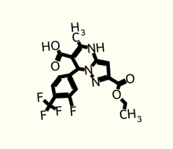 CCOC(=O)c1cc2n(n1)C(c1ccc(C(F)(F)F)c(F)c1)C(C(=O)O)=C(C)N2